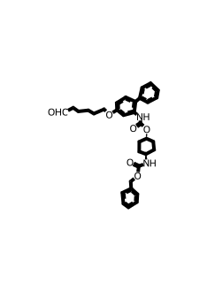 O=CCCCCCOc1ccc(-c2ccccc2)c(NC(=O)O[C@H]2CC[C@H](NC(=O)OCc3ccccc3)CC2)c1